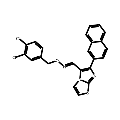 Clc1ccc(CO/N=C/c2c(-c3ccc4ccccc4c3)nc3sccn23)cc1Cl